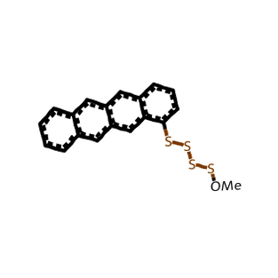 COSSSSc1cccc2cc3cc4ccccc4cc3cc12